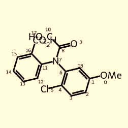 COc1ccc(Cl)c(N(C(=O)C(=O)O)c2ccccc2C(=O)O)c1